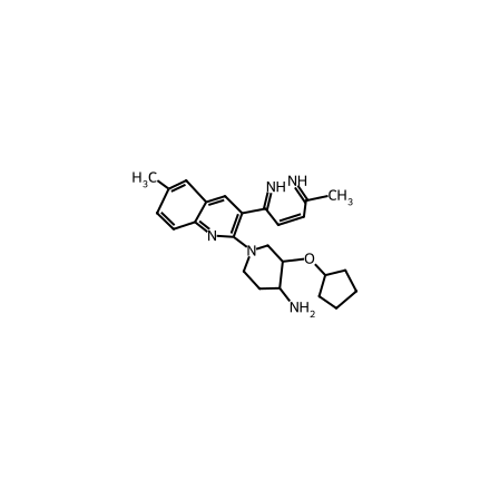 CC(=N)/C=C\C(=N)c1cc2cc(C)ccc2nc1N1CCC(N)C(OC2CCCC2)C1